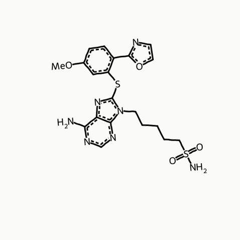 COc1ccc(-c2ncco2)c(Sc2nc3c(N)ncnc3n2CCCCCS(N)(=O)=O)c1